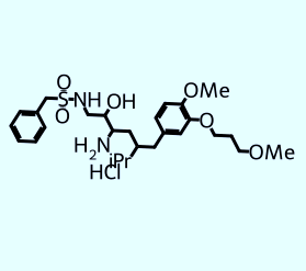 COCCCOc1cc(CC(CC(N)C(O)CNS(=O)(=O)Cc2ccccc2)C(C)C)ccc1OC.Cl